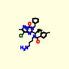 Cc1ccc(C(=O)N(CCCCN)C(c2nc3c(Cl)c(C)nn3c(=O)n2Cc2ccccc2)C(C)C)cc1